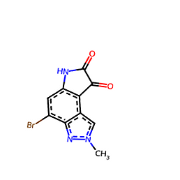 Cn1cc2c3c(cc(Br)c2n1)NC(=O)C3=O